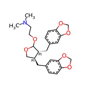 CN(C)CCOC1OC[C@H](Cc2ccc3c(c2)OCO3)[C@H]1Cc1ccc2c(c1)OCO2